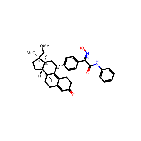 COC[C@]1(OC)CC[C@H]2[C@@H]3CCC4=CC(=O)CCC4=C3[C@@H](c3ccc(/C(=N\O)C(=O)Nc4ccccc4)cc3)C[C@@]21C